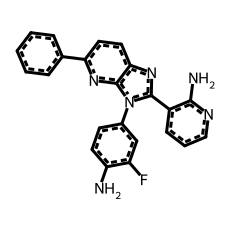 Nc1ccc(-n2c(-c3cccnc3N)nc3ccc(-c4ccccc4)nc32)cc1F